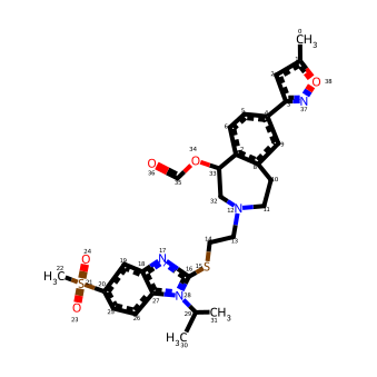 Cc1cc(-c2ccc3c(c2)CCN(CCSc2nc4cc(S(C)(=O)=O)ccc4n2C(C)C)CC3OC=O)no1